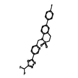 O=S1(=O)CCc2cc(-c3ccc(F)cc3)ccc2N1Cc1ccc(-c2nnc(C(F)F)o2)cn1